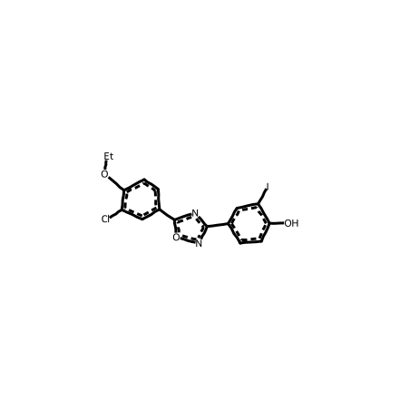 CCOc1ccc(-c2nc(-c3ccc(O)c(I)c3)no2)cc1Cl